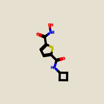 O=C(NO)c1ccc(C(=O)NC2CCC2)s1